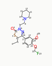 CCC1SC(=O)N(CCN2CCCCC2)N=C1c1ccc(OCF)c(OC)c1